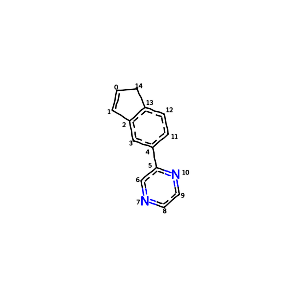 C1=Cc2cc(-c3cnccn3)ccc2C1